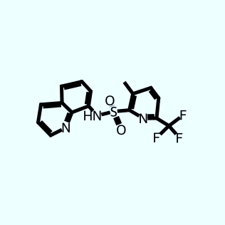 Cc1ccc(C(F)(F)F)nc1S(=O)(=O)Nc1cccc2cccnc12